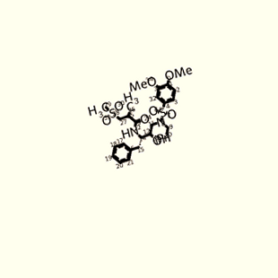 COc1ccc(S(=O)(=O)N(CC(C)C)CC(O)[C@H](Cc2ccccc2)NC(=O)C(C)CS(C)(=O)=O)cc1OC